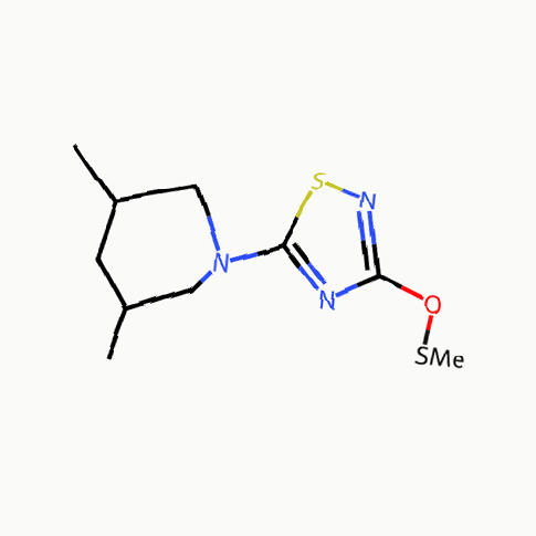 CSOc1nsc(N2CC(C)CC(C)C2)n1